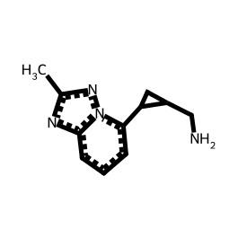 Cc1nc2cccc(C3CC3CN)n2n1